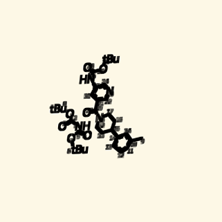 CC(C)(C)OC(=O)NC(=O)OC(C)(C)C.Cc1cccc(C2CCN(C(=O)c3cncc(NC(=O)OC(C)(C)C)c3)CC2)c1